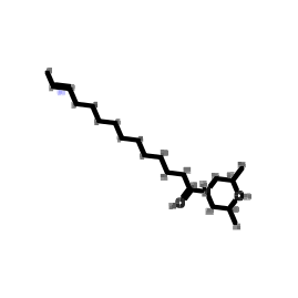 C/C=C/CCCCCCCCCCC(=O)N1CC(C)OC(C)C1